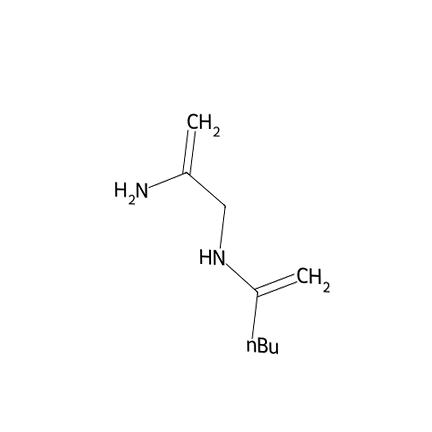 C=C(N)CNC(=C)CCCC